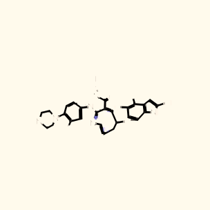 Cc1cc2c(F)c(O/C3=C(C(=O)N(C)C)/C(Nc4ccc(N5CCNCC5)c(F)c4)=N\C=C\CC3C)ccc2[nH]1